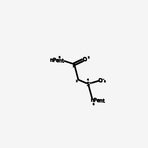 CCCCCC(=O)C[S+]([O-])CCCCC